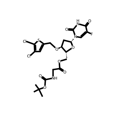 CC(C)(C)OC(=O)NCC(=O)OC[C@H]1O[C@@H](n2cc(F)c(=O)[nH]c2=O)C[C@@H]1OCc1cc(Cl)c(Cl)s1